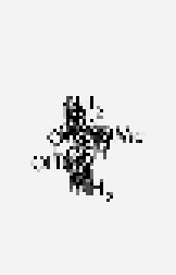 COPOC[C@H]1O[C@@H](n2cnc3c(N)ncnc32)[C@H](OC(=O)OC2/C=C/CCCCC2)[C@@H]1OC(O)OC[C@H]1O[C@@H](n2cnc3c(N)ncnc32)[C@H](OC=O)[C@@H]1O